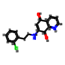 O=C1C=C(NCCc2ccccc2Cl)C(=O)c2ncccc21